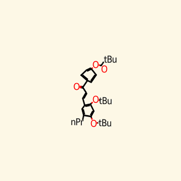 CCCc1cc(/C=C/C(=O)c2ccc(OC(=O)C(C)(C)C)cc2)c(OC(C)(C)C)cc1OC(C)(C)C